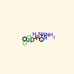 CC(C)(OC1=CC=CC2N=C(N)N=C(N)C12)C1CCN(Cc2c(Cl)cccc2Cl)CC1